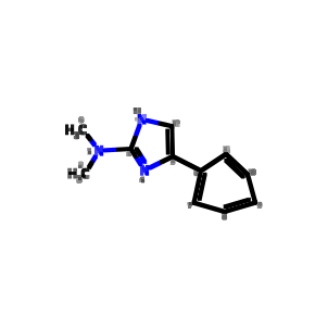 CN(C)C1=NC(c2ccccc2)=C[N]1